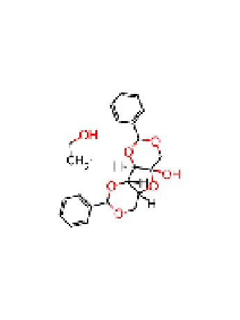 O[C@]12COC(c3ccccc3)O[C@@H]1[C@H]1OC(c3ccccc3)OC[C@H]1O2.[CH2]CO